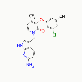 N#Cc1cc(Cl)cc(Oc2c(C(F)(F)F)ccn(Cc3c[nH]c4nc(N)ccc34)c2=O)c1